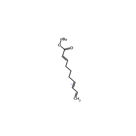 C=C/C=C/CCCC=CC(=O)OCCCC